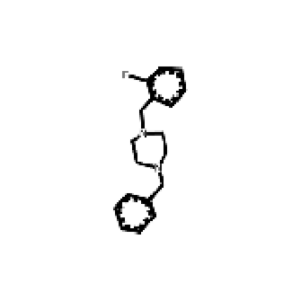 Fc1ccccc1CN1CCN(Cc2ccccc2)CC1